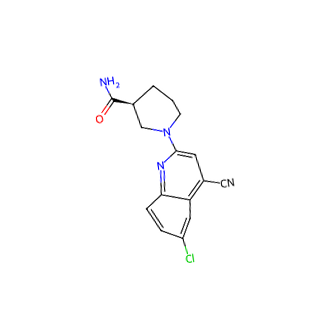 N#Cc1cc(N2CCC[C@H](C(N)=O)C2)nc2ccc(Cl)cc12